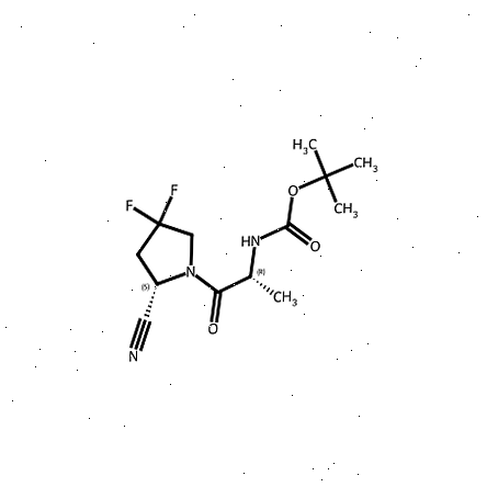 C[C@@H](NC(=O)OC(C)(C)C)C(=O)N1CC(F)(F)C[C@H]1C#N